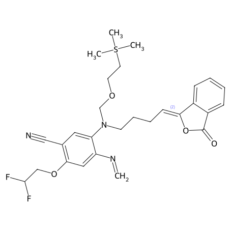 C=Nc1cc(OCC(F)F)c(C#N)cc1N(CCC/C=C1\OC(=O)c2ccccc21)COCCS(C)(C)C